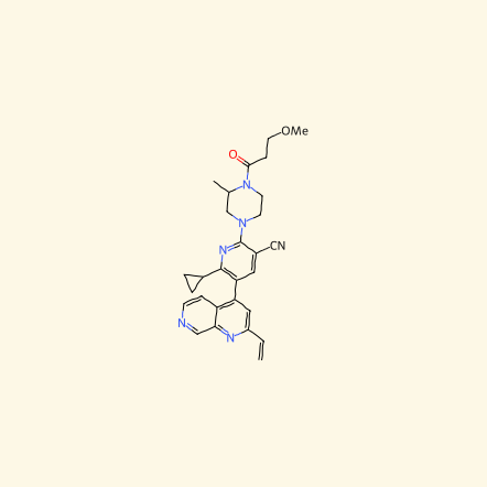 C=Cc1cc(-c2cc(C#N)c(N3CCN(C(=O)CCOC)C(C)C3)nc2C2CC2)c2ccncc2n1